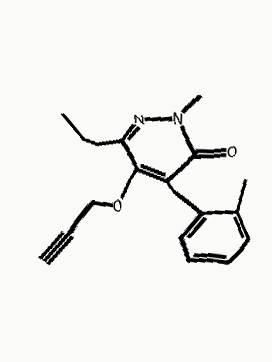 C#CCOc1c(CC)nn(C)c(=O)c1-c1ccccc1C